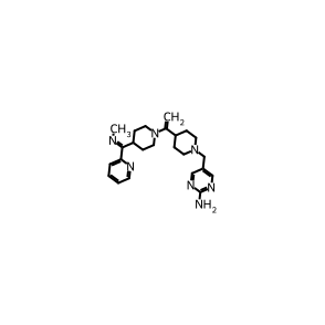 C=C(C1CCN(Cc2cnc(N)nc2)CC1)N1CCC(/C(=N\C)c2ccccn2)CC1